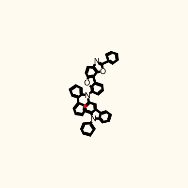 c1ccc(-c2nc3ccc4oc5c(N(c6ccc7c(c6)c6ccccc6n7-c6ccccc6)c6ccccc6-c6ccccc6)cccc5c4c3o2)cc1